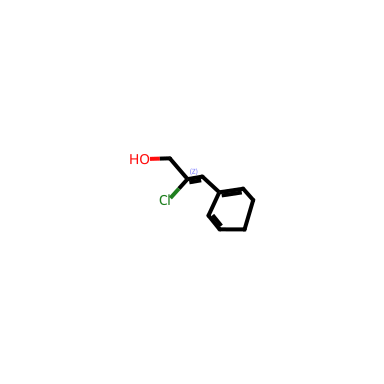 OC/C(Cl)=C/C1=CCCC=C1